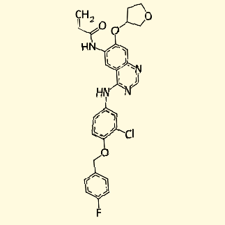 C=CC(=O)Nc1cc2c(Nc3ccc(OCc4ccc(F)cc4)c(Cl)c3)ncnc2cc1OC1CCOC1